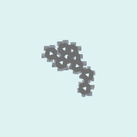 c1ccc(-c2cccc(-c3ccc(N(c4ccccc4)c4cccc(-c5ccccc5)c4-c4ccccc4-c4ccccc4)cc3)c2)cc1